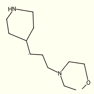 [CH](CCN1CCOCC1)C1CCNCC1